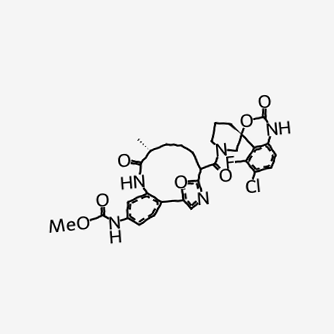 COC(=O)Nc1ccc2c(c1)NC(=O)[C@H](C)CCCC(C(=O)N1CCC[C@@]3(C1)OC(=O)Nc1ccc(Cl)c(F)c13)c1ncc-2o1